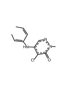 C/C=C\C(=C/C)Nc1cnn(C)c(=O)c1Cl